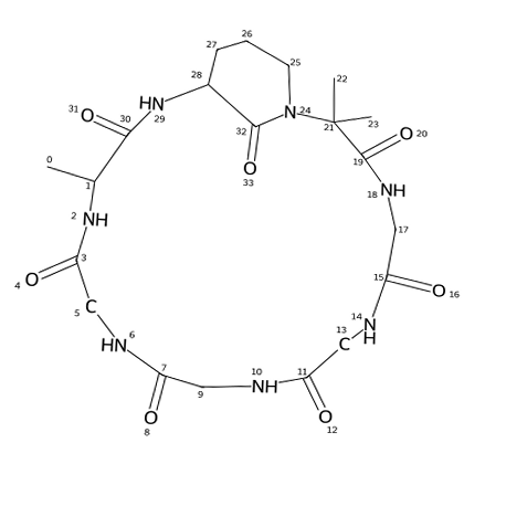 CC1NC(=O)CNC(=O)CNC(=O)CNC(=O)CNC(=O)C(C)(C)N2CCCC(NC1=O)C2=O